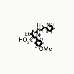 CCc1nc(NCCc2ccccn2)nc(-c2ccc(OC)cc2)c1C(=O)O